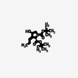 CC/C=C1\[C@@H](C(=O)OC(C)(C)C)N(C(=O)OC(C)(C)C)C[C@@H]1O